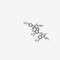 Cc1ccc(S(=O)(=O)n2c(C(=O)O)cc3c([C@@H]4C[C@@]45C(=O)N(C)c4cc(C)ccc45)cn(C)c(=O)c32)cc1